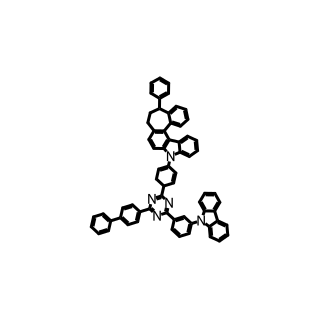 C1=CC(c2nc(-c3ccc(-c4ccccc4)cc3)nc(-c3cccc(-n4c5ccccc5c5ccccc54)c3)n2)CC=C1n1c2ccccc2c2c3c(ccc21)CCC(c1ccccc1)c1ccccc1-3